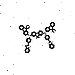 CCC1(CC)c2ccccc2-c2ccc(N(c3ccc(-c4nc5ccccc5o4)cc3)c3ccc4c(c3)C(C)(C)c3cc(N(c5ccc(-c6nc7ccccc7o6)cc5)c5ccc6c(c5)C(CC)(CC)c5ccccc5-6)ccc3-4)cc21